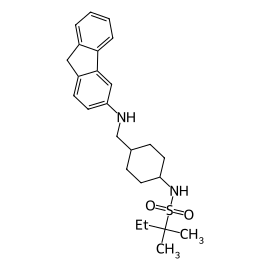 CCC(C)(C)S(=O)(=O)NC1CCC(CNc2ccc3c(c2)-c2ccccc2C3)CC1